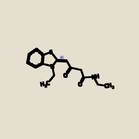 CCNC(=O)CC(=O)/C=C1/Sc2ccccc2N1CC